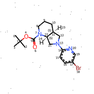 CC(C)(C)OC(=O)N1CCC[C@H]2CN(c3ccc(Br)cn3)C[C@H]21